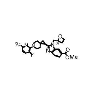 COC(=O)c1ccc2nc(C3CC34CCN(c3nc(Br)ccc3F)CC4)n(C[C@@H]3CCO3)c2c1